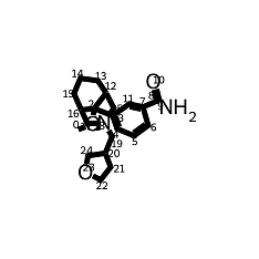 COC1(c2cccc(C(N)=O)c2)C2CCCC1CN(CC1CCOC1)C2